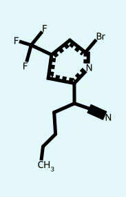 CCCCC(C#N)c1cc(C(F)(F)F)cc(Br)n1